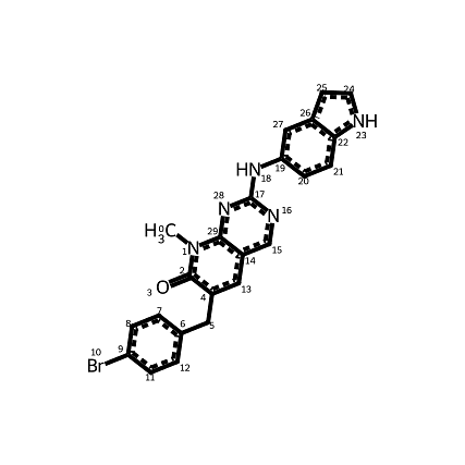 Cn1c(=O)c(Cc2ccc(Br)cc2)cc2cnc(Nc3ccc4[nH]ccc4c3)nc21